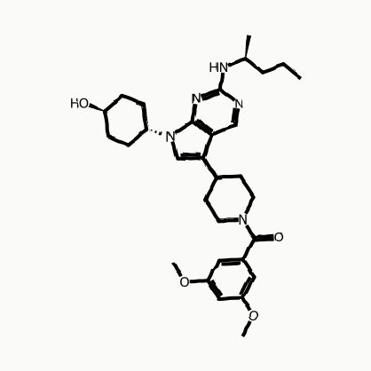 CCC[C@H](C)Nc1ncc2c(C3CCN(C(=O)c4cc(OC)cc(OC)c4)CC3)cn([C@H]3CC[C@H](O)CC3)c2n1